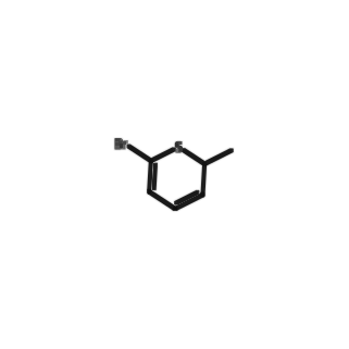 CC1C=CC=C(Br)S1